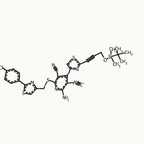 [C-]#[N+]c1c(N)nc(SCc2csc(-c3ccc(Cl)cc3)n2)c(C#N)c1-c1csc(C#CCO[Si](C)(C)C(C)(C)C)n1